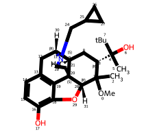 COC1(C)[C@@H](C(C)(O)C(C)(C)C)C[C@]2(C)[C@H]3Cc4ccc(O)c5c4[C@@]2(CCN3CC2CC2)[C@H]1O5